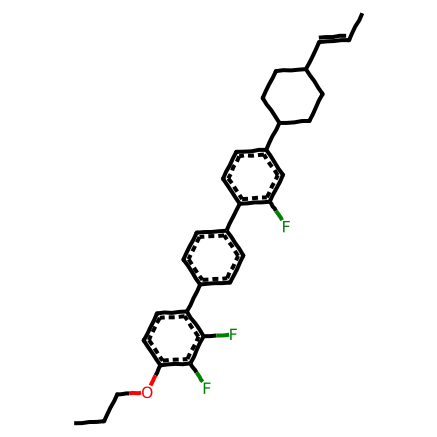 C/C=C/C1CCC(c2ccc(-c3ccc(-c4ccc(OCCC)c(F)c4F)cc3)c(F)c2)CC1